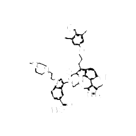 Cc1cc(OCCCc2c3n(c4c(-c5c(C)nn(C)c5C)c(Cl)ccc24)[C@H](C)CN(c2cn(CCN4CCN(C)CC4)c4ccc(C(=O)O)cc24)C3=O)cc(C)c1Cl